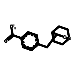 O=C(c1ccc(CC2CN3CCC2CC3)cc1)C(F)(F)F